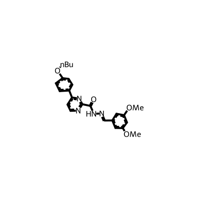 CCCCOc1ccc(-c2ccnc(C(=O)NN=Cc3cc(OC)cc(OC)c3)n2)cc1